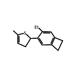 CCc1cc2c(cc1C1CC=C(C)S1)CC2